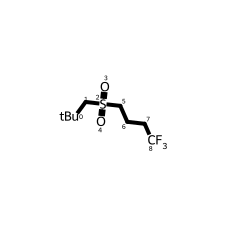 CC(C)(C)CS(=O)(=O)CCCC(F)(F)F